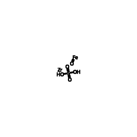 O=S(=O)(O)O.[O]=[Fe].[Zr]